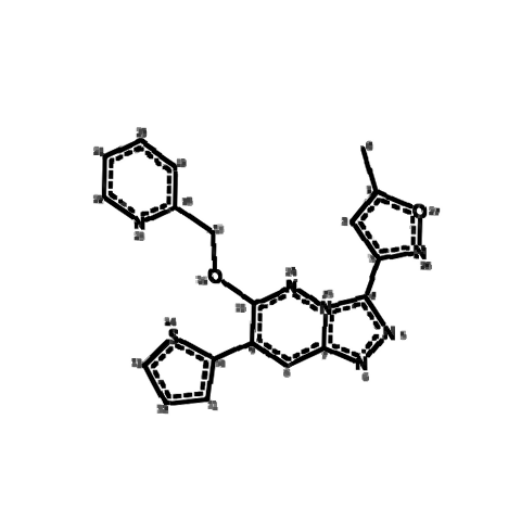 Cc1cc(-c2nnc3cc(-c4cccs4)c(OCc4ccccn4)nn23)no1